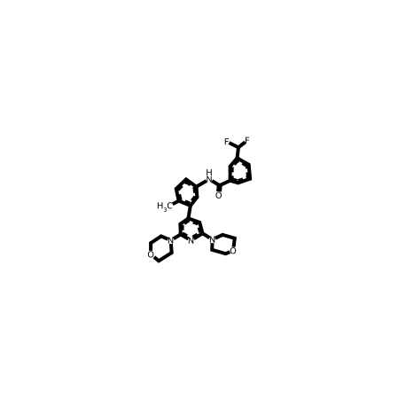 Cc1ccc(NC(=O)c2cccc(C(F)F)c2)cc1-c1cc(N2CCOCC2)nc(N2CCOCC2)c1